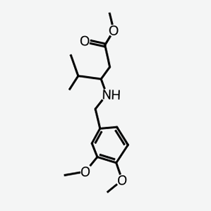 COC(=O)CC(NCc1ccc(OC)c(OC)c1)C(C)C